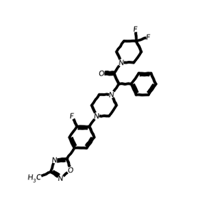 Cc1noc(-c2ccc(N3CCN(C(C(=O)N4CCC(F)(F)CC4)c4ccccc4)CC3)c(F)c2)n1